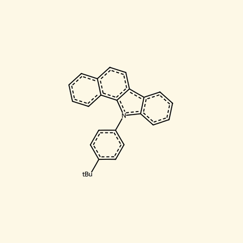 CC(C)(C)c1ccc(-n2c3ccccc3c3ccc4ccccc4c32)cc1